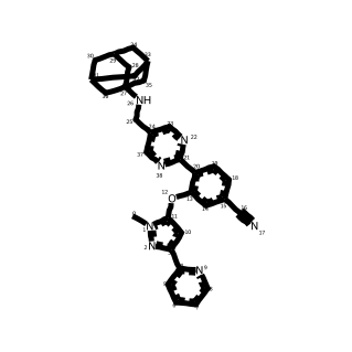 Cn1nc(-c2ccccn2)cc1Oc1cc(C#N)ccc1-c1ncc(CNC23CC4CC(CC(C4)C2)C3)cn1